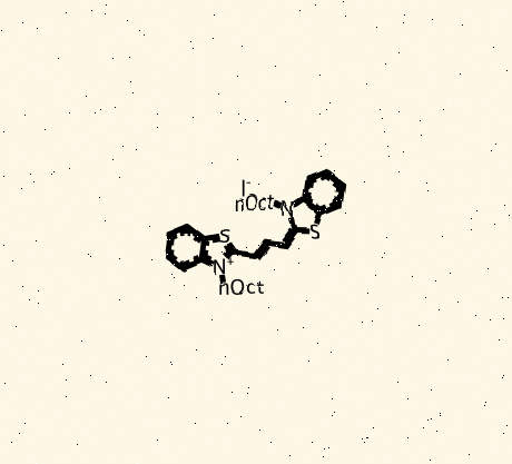 CCCCCCCCN1C(=CC=Cc2sc3ccccc3[n+]2CCCCCCCC)Sc2ccccc21.[I-]